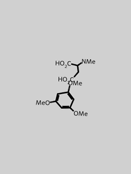 CNC(CC(=O)O)C(=O)O.COc1cc(OC)cc(OC)c1